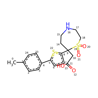 Cc1ccc(-c2ccc(C3(CC(=O)O)CCNCCS3(=O)=O)s2)cc1